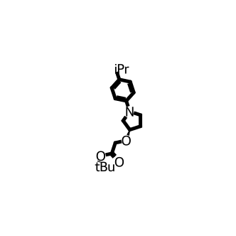 CC(C)c1ccc(N2CC[C@@H](OCC(=O)OC(C)(C)C)C2)cc1